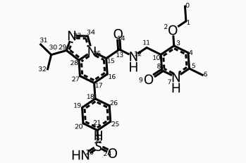 CCOc1cc(C)[nH]c(=O)c1CNC(=O)c1cc(-c2ccc([SH](=N)=O)cc2)cc2c(C(C)C)ncn12